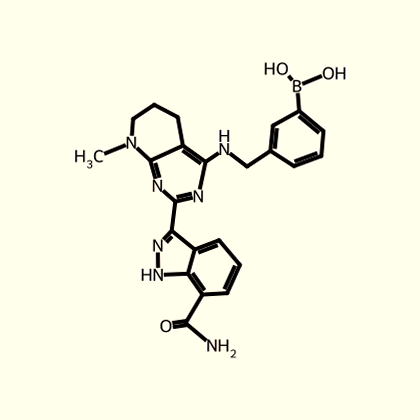 CN1CCCc2c(NCc3cccc(B(O)O)c3)nc(-c3n[nH]c4c(C(N)=O)cccc34)nc21